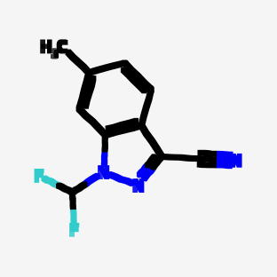 Cc1ccc2c(C#N)nn(C(F)F)c2c1